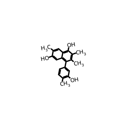 Cc1ccc(-c2c(C)c(C)c(O)c3cc(C)c(O)cc23)cc1O